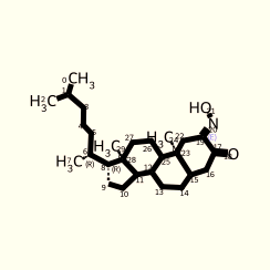 CC(C)CCC[C@@H](C)[C@H]1CCC2C3CCC4CC(=O)/C(=N/O)C[C@]4(C)C3CC[C@@]21C